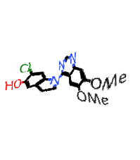 COc1cc2ncnc(N3CCc4cc(O)c(Cl)cc43)c2cc1OC